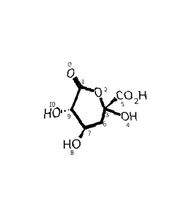 O=C1O[C@@](O)(C(=O)O)C[C@@H](O)[C@@H]1O